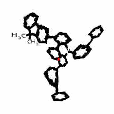 CC1(C)c2ccccc2-c2cc(-c3cccc(N(c4ccc(-c5cccc(-c6ccccc6)c5)cc4)c4cccc(-c5ccccc5)c4)c3-c3ccccc3)ccc21